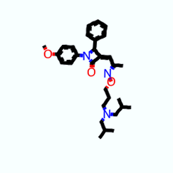 COc1ccc(N2C(=O)C(=CC(C)=NOCCCN(CC(C)C)CC(C)C)C2c2ccccc2)cc1